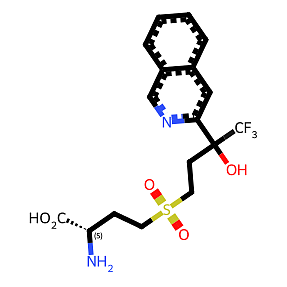 N[C@@H](CCS(=O)(=O)CCC(O)(c1cc2ccccc2cn1)C(F)(F)F)C(=O)O